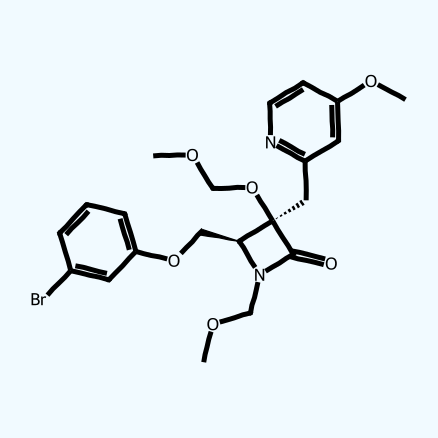 COCO[C@@]1(Cc2cc(OC)ccn2)C(=O)N(COC)[C@H]1COc1cccc(Br)c1